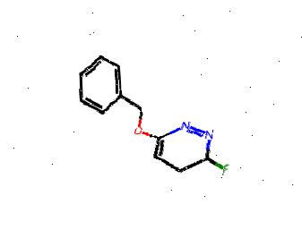 FC1CC=C(OCc2ccccc2)N=N1